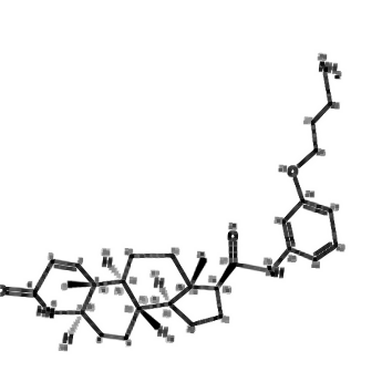 C[C@]12C=CC(=O)N[C@@H]1CC[C@@H]1[C@@H]2CC[C@]2(C)[C@@H](C(=O)Nc3cccc(OCCCN)c3)CC[C@@H]12